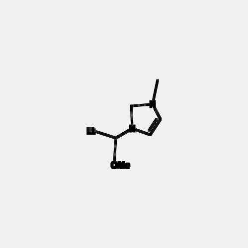 CCC(OC)N1C=CN(C)C1